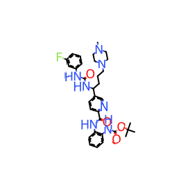 CN1CCN(CCCC(NC(=O)Nc2cccc(F)c2)c2ccc(C(=O)Nc3ccccc3NC(=O)OC(C)(C)C)nc2)CC1